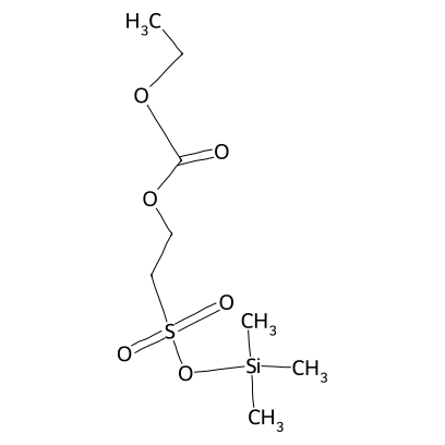 CCOC(=O)OCCS(=O)(=O)O[Si](C)(C)C